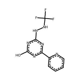 Oc1nc(NNC(F)(F)F)nc(-c2ccccn2)n1